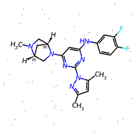 Cc1cc(C)n(-c2nc(Nc3ccc(F)c(F)c3)cc(N3C[C@H]4C[C@@H]3CN4C)n2)n1